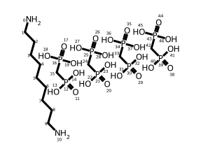 NCCCCCCCCCN.O=P(O)(O)CP(=O)(O)O.O=P(O)(O)CP(=O)(O)O.O=P(O)(O)CP(=O)(O)O.O=P(O)(O)CP(=O)(O)O